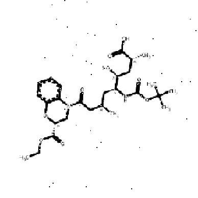 CCOC(=O)[C@H]1CN(C(=O)C[C@H](C)C[C@H](NC(=O)OC(C)(C)C)[C@@H](O)C[C@@H](C)C(=O)O)c2ccccc2O1